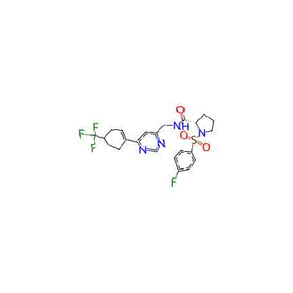 O=C(NCc1cc(C2=CCC(C(F)(F)F)CC2)ncn1)[C@@H]1CCCN1S(=O)(=O)c1ccc(F)cc1